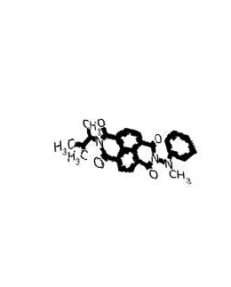 CC(C)C(C)N1C(=O)c2ccc3c4c(ccc(c24)C1=O)C(=O)N(N(C)c1ccccc1)C3=O